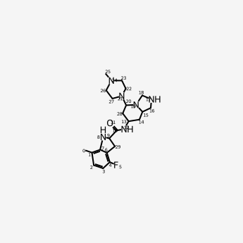 Cc1ccc(F)c2c1NC(C(=O)NC1CC3CNCN3C(N3CCN(C)CC3)C1)C2